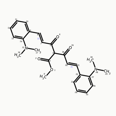 COC(=O)C(C(=O)/C=C/c1ccccc1N(C)C)C(=O)/C=C/c1ccccc1N(C)C